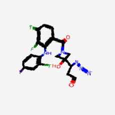 [N-]=[N+]=NC(CC=O)C1(O)CN(C(=O)c2ccc(F)c(F)c2Nc2ccc(I)cc2F)C1